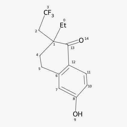 CCC1(CC(F)(F)F)CCc2cc(O)ccc2C1=O